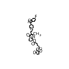 Cc1nc2n(c(=O)c1CCN1CCC(c3noc4cc(F)ccc34)CC1)CCCC2OC(=O)CCCC(=O)ON1C(=O)CCC1=O